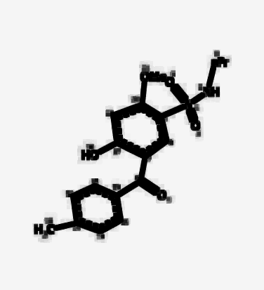 CCCNS(=O)(=O)c1cc(C(=O)c2ccc(C)cc2)c(O)cc1OC